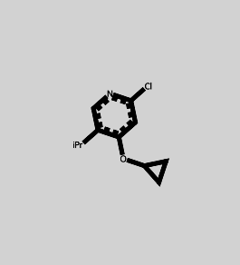 CC(C)c1cnc(Cl)cc1OC1CC1